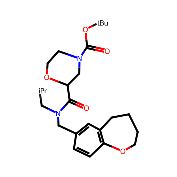 CC(C)CN(Cc1ccc2c(c1)CCCCO2)C(=O)C1CN(C(=O)OC(C)(C)C)CCO1